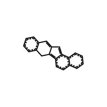 C1=C2C=c3c(ccc4ccccc34)=C2Cc2ccccc21